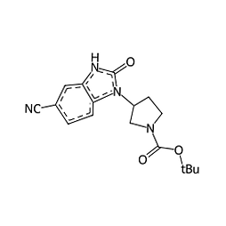 CC(C)(C)OC(=O)N1CCC(n2c(=O)[nH]c3cc(C#N)ccc32)C1